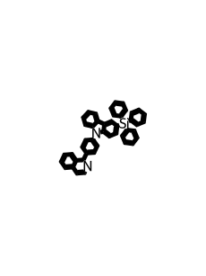 c1ccc([Si](c2ccccc2)(c2ccccc2)c2ccc3c(c2)c2ccccc2n3-c2ccc(-c3nccc4ccccc34)cc2)cc1